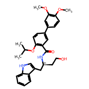 COc1ccc(-c2ccc(OC(C)C)c(C(=O)N[C@@H](CCO)Cc3c[nH]c4ccccc34)c2)cc1OC